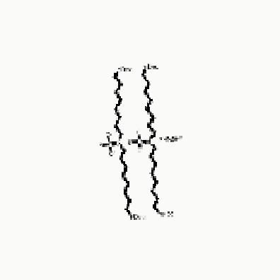 CCCCCCCCCCCCCCCCCCS(CCCCCCCCCCCCCCCCCC)=P([O-])([O-])[S-].CCCCCCCCCCCCCCCCCCS(CCCCCCCCCCCCCCCCCC)=P([O-])([O-])[S-].[Zn+2].[Zn+2].[Zn+2]